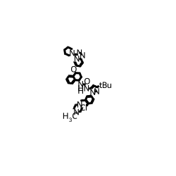 CN1CCN(Cc2cc(-n3nc(C(C)(C)C)cc3NC(=O)N[C@H]3CC[C@@H](Oc4ccc5nnc(N6CCCCC6)n5c4)c4ccccc43)ccc2Cl)CC1